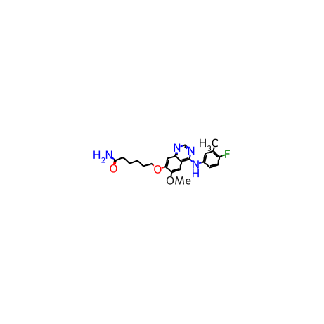 COc1cc2c(Nc3ccc(F)c(C)c3)ncnc2cc1OCCCCCC(N)=O